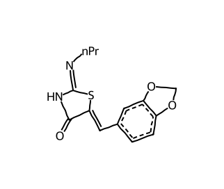 CCCN=C1NC(=O)C(=Cc2ccc3c(c2)OCO3)S1